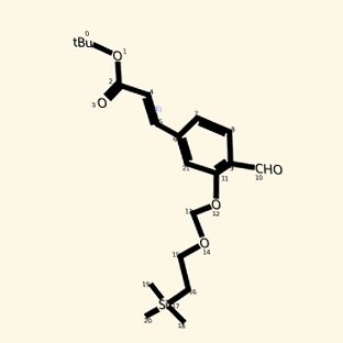 CC(C)(C)OC(=O)/C=C/c1ccc(C=O)c(OCOCC[Si](C)(C)C)c1